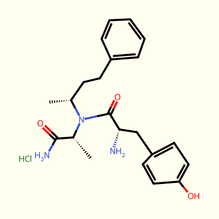 C[C@H](CCc1ccccc1)N(C(=O)[C@@H](N)Cc1ccc(O)cc1)[C@H](C)C(N)=O.Cl